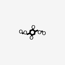 O=COCC1CC(=O)C(COC=O)CC1=O